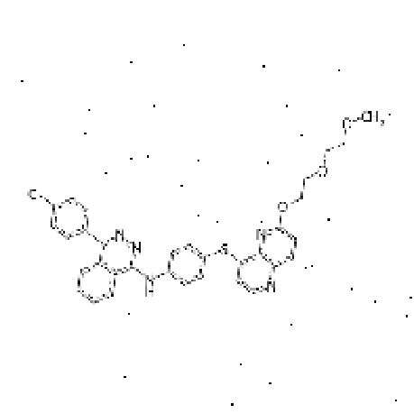 COCCOCCOc1ccc2nccc(Sc3ccc(Nc4nnc(-c5ccc(Cl)cc5)c5ccccc45)cc3)c2n1